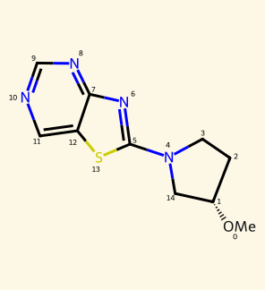 CO[C@H]1CCN(c2nc3ncncc3s2)C1